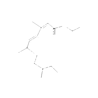 CCOC(=O)C=C(C)C=CC(C)CCC(C)CC